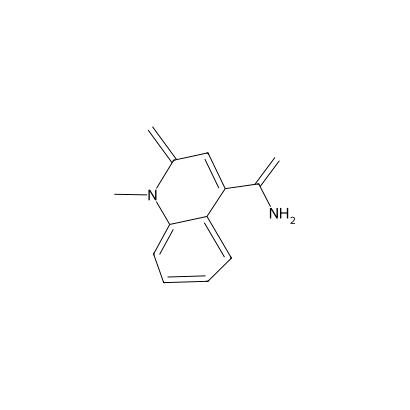 C=C(N)C1=CC(=C)N(C)c2ccccc21